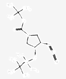 CC(C)(C)OC(=O)N1C[C@H](O[Si](C)(C)C(C)(C)C)[C@H](N=[N+]=[N-])C1